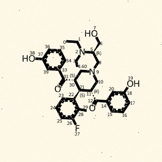 CCN(CC)[C@@H](CO)CN1C[C@H](C(=O)c2cccc(O)c2)[C@@H](c2cccc(F)c2C)[C@H](C(=O)c2cccc(O)c2)C1